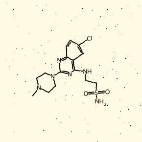 CN1CCN(c2nc(NCCS(N)(=O)=O)c3cc(Cl)ccc3n2)CC1